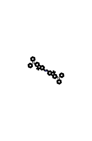 CC1(C)c2cc(/C=C/c3ccc4c(c3)C(C)(C)C3CC(N(c5ccccc5)c5ccccc5)=CC=C43)ccc2-c2ccc(N(c3ccccc3)c3ccccc3)cc21